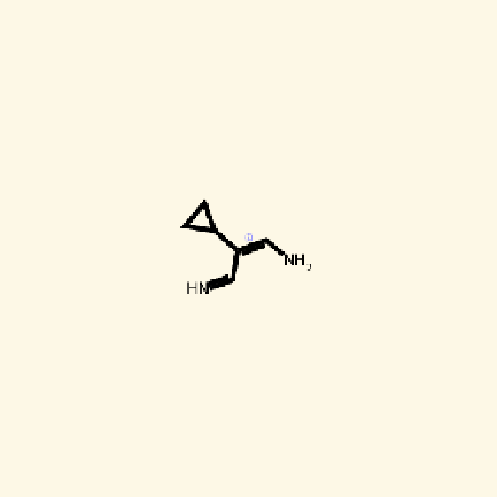 N=C/C(=C\N)C1CC1